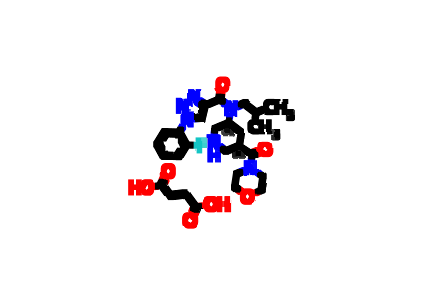 CC(C)CN(C(=O)c1cn(-c2ccccc2F)nn1)[C@@H]1CNC[C@H](C(=O)N2CCOCC2)C1.O=C(O)C=CC(=O)O